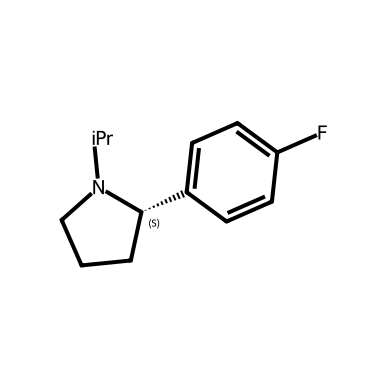 CC(C)N1CCC[C@H]1c1ccc(F)cc1